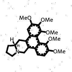 COc1cc2c3c(c4ccc(OC)c(OC)c4c2c(OC)c1OC)CN1CCC[C@@H]1C3